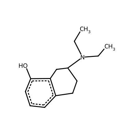 CCN(CC)C1CCc2cccc(O)c2C1